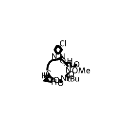 COC(=O)[C@@H]1C[C@@H]2CN1C(=O)[C@H](C(C)(C)C)NC(=O)O[C@@H]1CC3C[C@@H]3[C@H]1CCCCCc1nc3ccc(Cl)cc3nc1O2